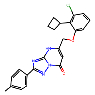 Cc1ccc(-c2nc3[nH]c(COc4cccc(Cl)c4C4CCC4)cc(=O)n3n2)cc1